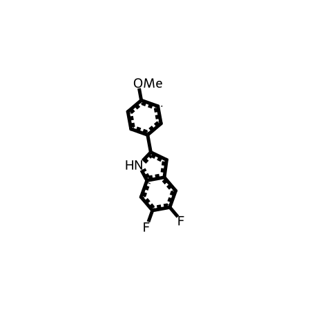 COc1[c]cc(-c2cc3cc(F)c(F)cc3[nH]2)cc1